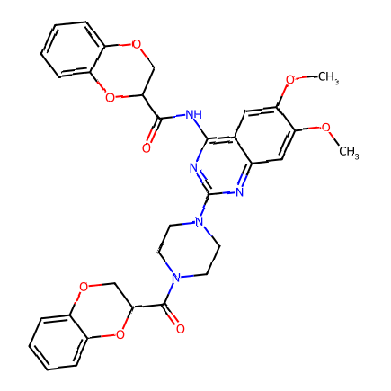 COc1cc2nc(N3CCN(C(=O)C4COc5ccccc5O4)CC3)nc(NC(=O)C3COc4ccccc4O3)c2cc1OC